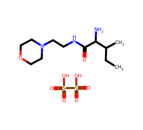 CCC(C)C(N)C(=O)NCCN1CCOCC1.O=S(=O)(O)S(=O)(=O)O